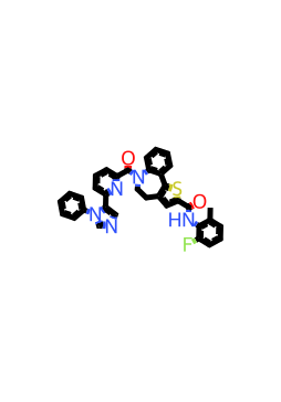 Cc1cccc(F)c1NC(=O)c1cc2c(s1)-c1ccccc1N(C(=O)c1cccc(-c3cncn3-c3ccccc3)n1)CC2